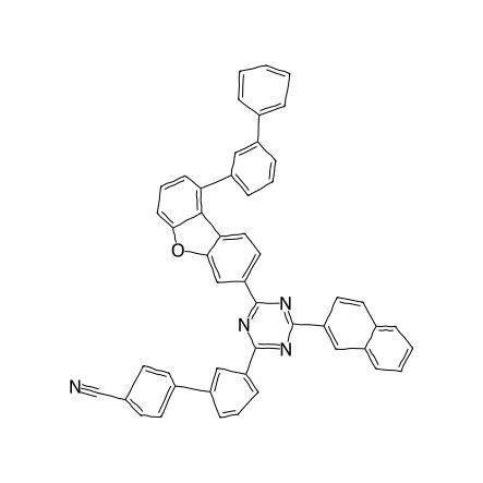 N#Cc1ccc(-c2cccc(-c3nc(-c4ccc5ccccc5c4)nc(-c4ccc5c(c4)oc4cccc(-c6cccc(-c7ccccc7)c6)c45)n3)c2)cc1